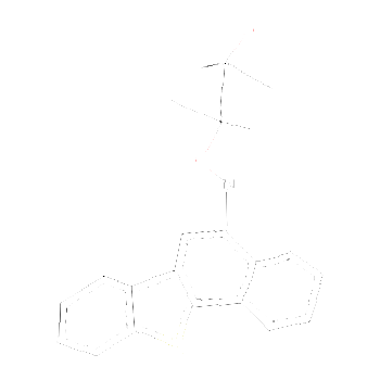 CC(C)(O)C(C)(C)OBc1cc2c3ccccc3sc2c2ccccc12